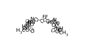 COC(=O)N[C@H](C(=O)N1[C@@H]2CCC(C2)[C@H]1c1nc2ccc(-c3ccc4c(c3)C(F)(F)c3cc(-c5cnc([C@@H]6CCCN6C(=O)[C@H](NC(=O)OC)c6ccccc6)[nH]5)ccc3-4)cc2[nH]1)C1CCOCC1